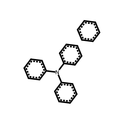 c1ccc(N(c2ccccc2)c2ccccc2)cc1.c1ccccc1